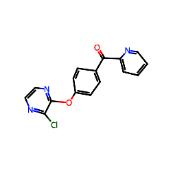 O=C(c1ccc(Oc2nccnc2Cl)cc1)c1ccccn1